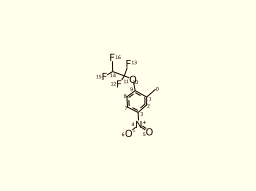 Cc1cc([N+](=O)[O-])ccc1OC(F)(F)C(F)F